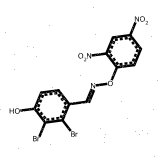 O=[N+]([O-])c1ccc(O/N=C/c2ccc(O)c(Br)c2Br)c([N+](=O)[O-])c1